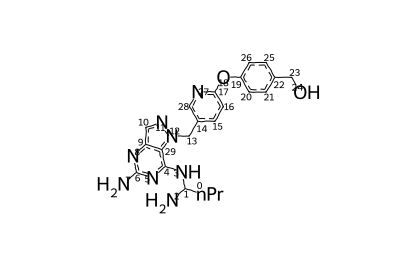 CCCC(N)Nc1nc(N)nc2cnn(Cc3ccc(Oc4ccc(CO)cc4)nc3)c12